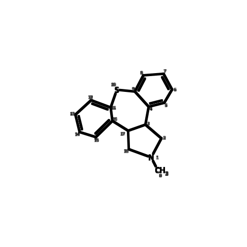 CN1CC2c3ccccc3Sc3ccccc3C2C1